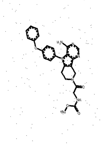 CC(C)(C)OC(=O)NCC(=O)N1CCc2c(c3ncnc(N)c3n2-c2ccc(Oc3ccccc3)cc2)C1